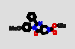 COc1ccc(-n2c(-c3ccccc3)nc3c(c2=O)CCN(C(=O)OC(C)(C)C)C3)cc1